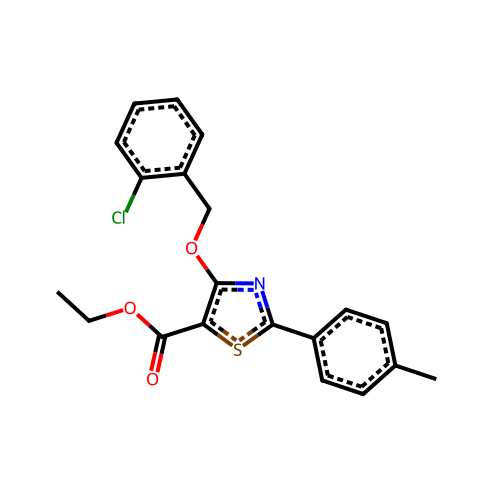 CCOC(=O)c1sc(-c2ccc(C)cc2)nc1OCc1ccccc1Cl